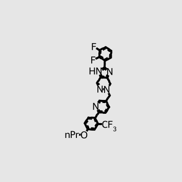 CCCOc1ccc(-c2ccc(CN3Cc4nc(-c5cccc(F)c5F)[nH]c4C=N3)cn2)c(C(F)(F)F)c1